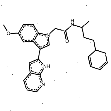 COc1ccc2c(c1)c(-c1cc3cccnc3[nH]1)cn2CC(=O)NC(C)CCC1C=CC=CC1